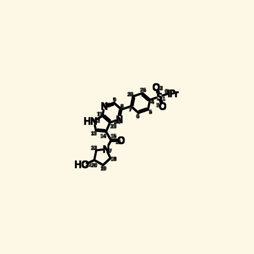 CC(C)S(=O)(=O)c1ccc(-c2cnc3[nH]cc(C(=O)N4CCC(O)C4)c3n2)cc1